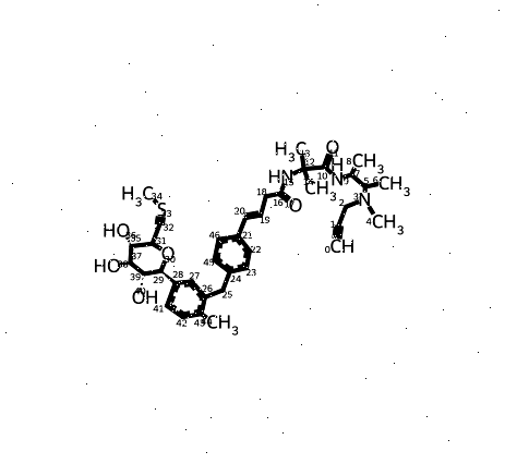 C#CCN(C)C(C)C(C)NC(=O)C(C)(C)NC(=O)C/C=C/c1ccc(Cc2cc([C@@H]3OC(C#SC)[C@@H](O)[C@H](O)[C@H]3O)ccc2C)cc1